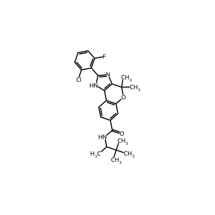 CC(NC(=O)c1ccc2c(c1)OC(C)(C)c1nc(-c3c(F)cccc3Cl)[nH]c1-2)C(C)(C)C